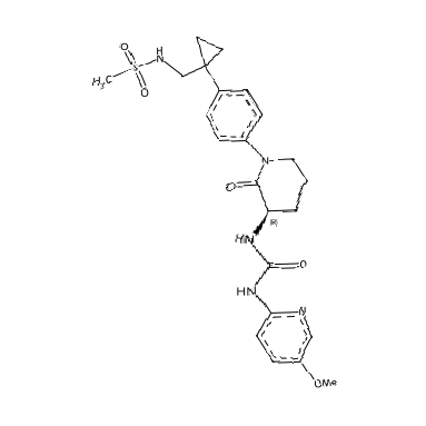 COc1ccc(NC(=O)N[C@@H]2CCCN(c3ccc(C4(CNS(C)(=O)=O)CC4)cc3)C2=O)nc1